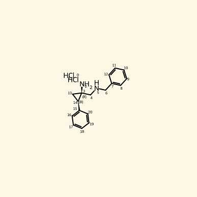 Cl.Cl.N[C@]1(CNCc2ccccc2)C[C@@H]1c1ccccc1